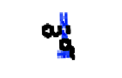 Cc1cc2cc(N3CCNCC3Cc3ccccc3)ccc2[nH]1